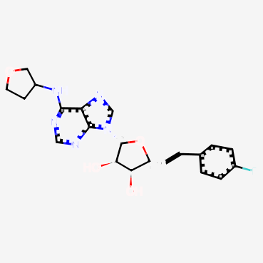 O[C@@H]1[C@H](O)[C@@H](C=Cc2ccc(F)cc2)O[C@H]1n1cnc2c(NC3CCOC3)ncnc21